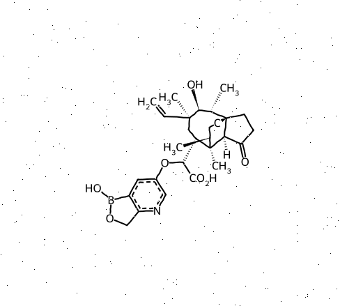 C=C[C@]1(C)C[C@@H](C(Oc2cnc3c(c2)B(O)OC3)C(=O)O)[C@@]2(C)[C@H](C)CC[C@]3(CCC(=O)[C@H]32)[C@@H](C)[C@@H]1O